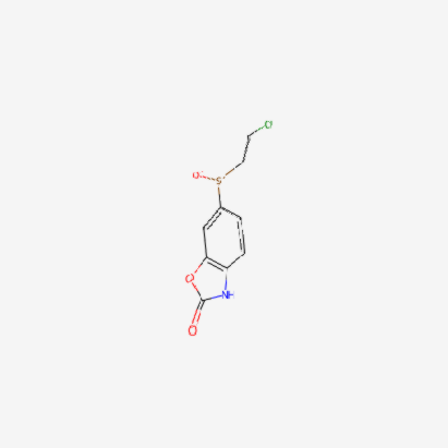 O=c1[nH]c2ccc([S+]([O-])CCCl)cc2o1